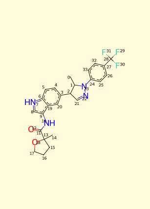 CC1C(c2ccc3[nH]cc(NC(=O)C4(C)CCCO4)c3c2)C=NN1c1ccc(C(F)(F)F)cc1